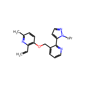 C=Cc1nc(C)ccc1OCc1cccnc1-c1ccnn1CCC